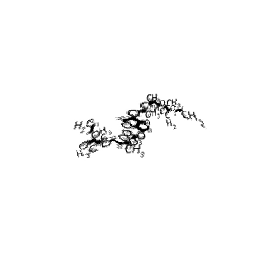 C=CCOC(=C)C(C)(C)OCCC(C)(C)OC(=O)OC1COC2C(OC(=O)OC(C)(C)CCOC(C)(C)C(=O)OCC=C)COC12